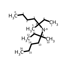 CCCCC(C)(CC)[N]C(C)(CC)CCCC